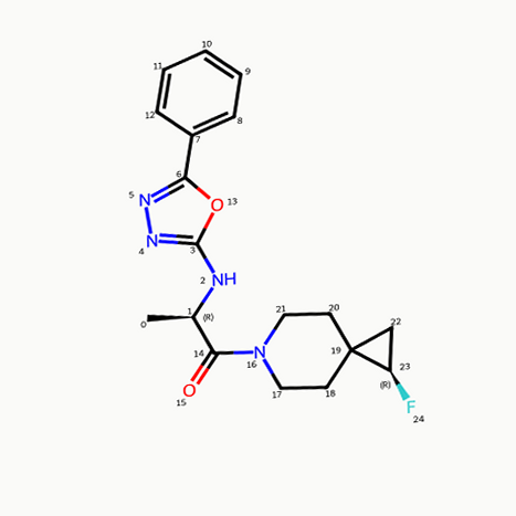 C[C@@H](Nc1nnc(-c2ccccc2)o1)C(=O)N1CCC2(CC1)C[C@H]2F